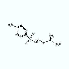 N[C@@H](CCNS(=O)(=O)c1ccc([N+](=O)[O-])cc1)C(=O)O